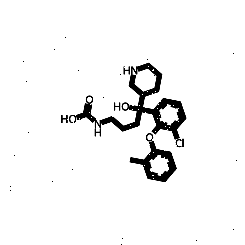 Cc1ccccc1Oc1c(Cl)cccc1C(O)(CCCNC(=O)O)C1CCCNC1